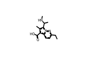 CCc1ccc2c(C(=O)O)c(C)c(C(C)NC)n2n1